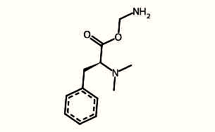 CN(C)[C@@H](Cc1ccccc1)C(=O)OCN